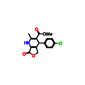 COC(=O)C1=C(C)NC2=C(COC2=O)C1c1ccc(Cl)cc1